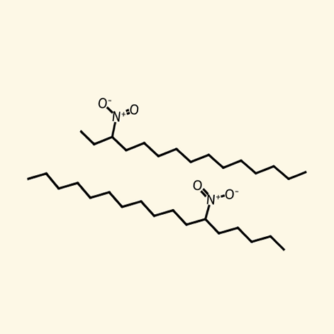 CCCCCCCCCCCC(CCCCC)[N+](=O)[O-].CCCCCCCCCCCCC(CC)[N+](=O)[O-]